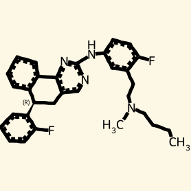 CCCCN(C)CCc1cc(Nc2ncc3c(n2)-c2ccccc2[C@H](c2ccccc2F)C3)ccc1F